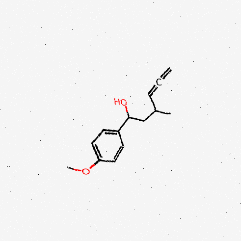 C=C=CC(C)CC(O)c1ccc(OC)cc1